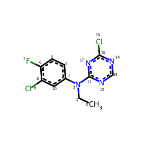 CCN(c1ccc(F)c(Cl)c1)c1ncnc(Cl)n1